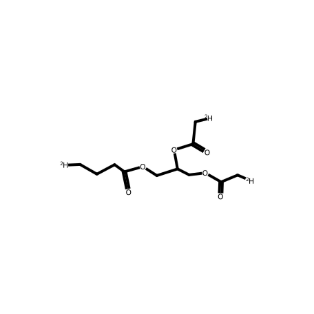 [2H]CCCC(=O)OCC(COC(=O)C[2H])OC(=O)C[2H]